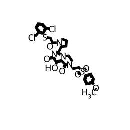 COc1ccc(S(=O)(=O)CCN2CCn3c(C4CCCN4C(=O)CSc4c(Cl)cccc4Cl)nc(=O)c(O)c3C2=O)cc1